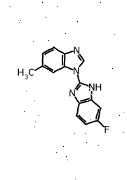 Cc1ccc2ncn(-c3nc4ccc(F)cc4[nH]3)c2c1